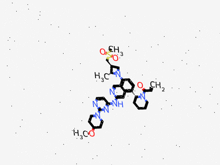 C=CC(=O)N1CCCC[C@@H]1c1ccc(N2C[C@H](CS(C)(=O)=O)[C@H]2C)c2cnc(Nc3ccnc(N4CCC(OC)CC4)n3)cc12